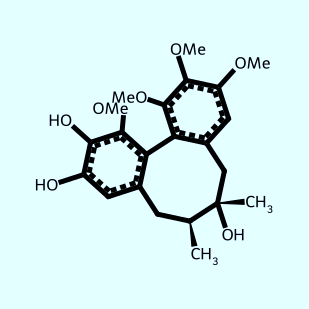 COc1cc2c(c(OC)c1OC)-c1c(cc(O)c(O)c1OC)C[C@H](C)[C@@](C)(O)C2